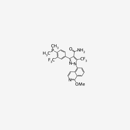 COc1nccc2c(-n3nc(-c4ccc(P(C)C)c(C(F)(F)F)c4)c(C(N)=O)c3C(F)(F)F)cccc12